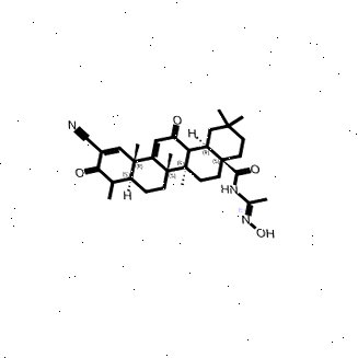 C/C(=N\O)NC(=O)[C@]12CCC(C)(C)C[C@@H]1C1C(=O)C=C3[C@@]4(C)C=C(C#N)C(=O)C(C)[C@@H]4CC[C@@]3(C)[C@]1(C)CC2